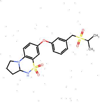 CC(C)S(=O)(=O)Cc1cccc(Oc2ccc3c(c2)S(=O)(=O)NC2CCCN32)c1